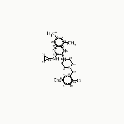 Cc1cc(C)c2nc(N3CCN(Cc4cc(Cl)ccc4Cl)CC3)c(NC3CC3)nc2c1